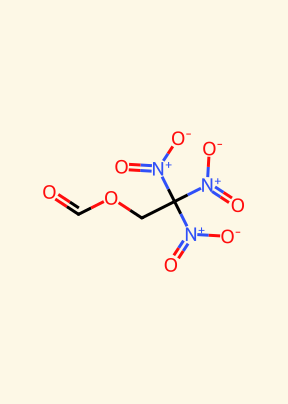 O=COCC([N+](=O)[O-])([N+](=O)[O-])[N+](=O)[O-]